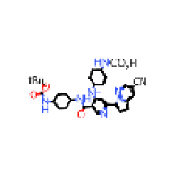 CC(C)(C)OC(=O)NC1CCC(NC(=O)c2cnc(-c3ccc4cc(C#N)cnn34)cc2NC2CCC(NC(=O)O)CC2)CC1